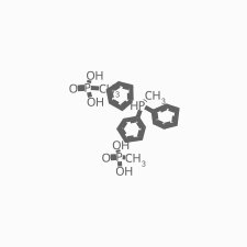 CP(=O)(O)O.CP(=O)(O)O.C[PH](c1ccccc1)(c1ccccc1)c1ccccc1